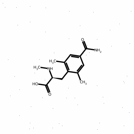 CN[C@@H](Cc1c(C)cc(C(N)=O)cc1C)C(=O)O